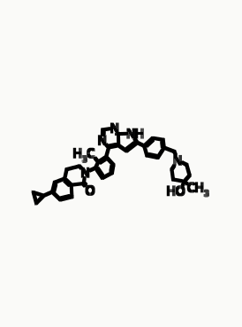 Cc1c(-c2ncnc3[nH]c(-c4ccc(CN5CCC(C)(O)CC5)cc4)cc23)cccc1N1CCc2cc(C3CC3)ccc2C1=O